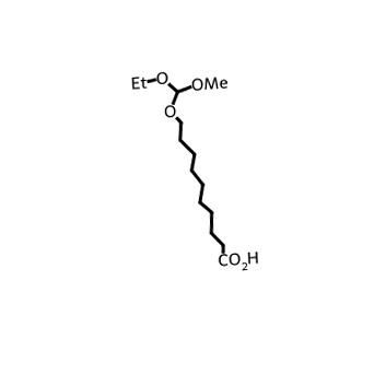 CCOC(OC)OCCCCCCCCCC(=O)O